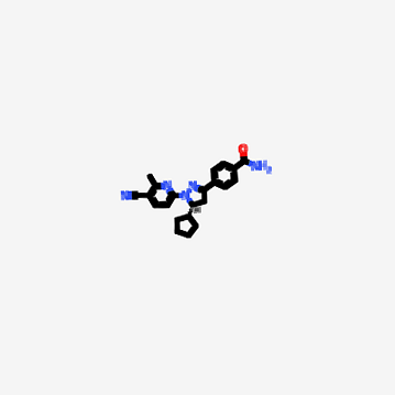 Cc1nc(N2N=C(c3ccc(C(N)=O)cc3)C[C@@H]2C2CCCC2)ccc1C#N